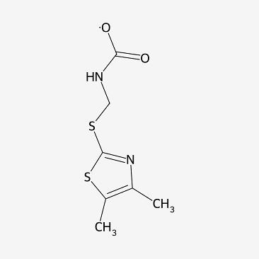 Cc1nc(SCNC([O])=O)sc1C